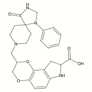 O=C(O)C1Cc2c(ccc3c2OC(CN2CCC4(CC2)C(=O)NCN4c2ccccc2)CO3)N1